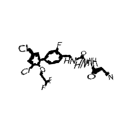 N#CCC(=O)NNC(=O)NCc1ccc(-c2cc(Cl)cc(Cl)c2OCC(F)F)cc1F